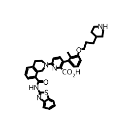 Cc1c(OCCCC2CCNCC2)cccc1-c1ccc(N2CCc3cccc(C(=O)Nc4nc5ccccc5s4)c3C2)nc1C(=O)O